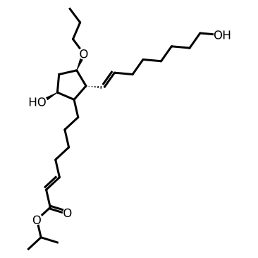 CCCO[C@@H]1C[C@H](O)C(CCCCC=CC(=O)OC(C)C)[C@H]1/C=C/CCCCCCO